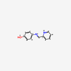 Oc1ccc(N=Cc2ccccn2)cc1